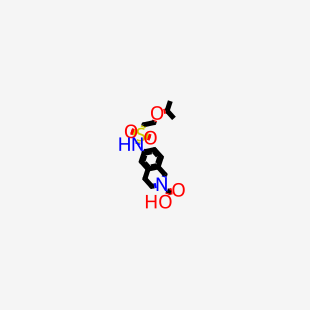 CC(C)OCCS(=O)(=O)Nc1ccc2c(c1)CCN(C(=O)O)C2